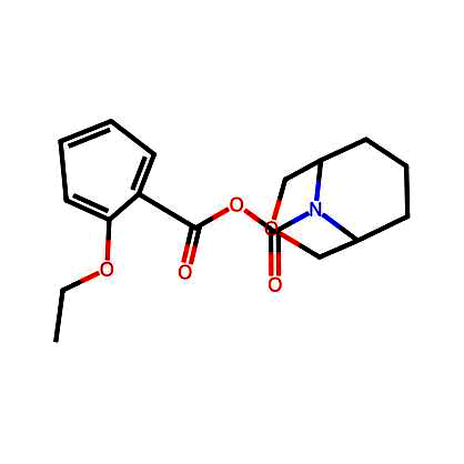 CCOc1ccccc1C(=O)OC(=O)N1C2CCCC1COC2